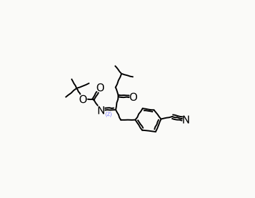 CC(C)CC(=O)/C(Cc1ccc(C#N)cc1)=N\C(=O)OC(C)(C)C